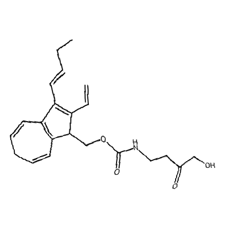 C=CC1=C(C=CCC)C2=C(C=CCC=C2)C1COC(=O)NCCC(=O)CO